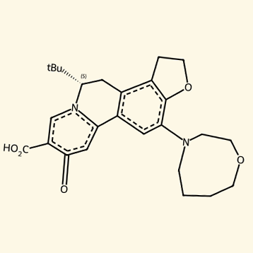 CC(C)(C)[C@@H]1Cc2c(cc(N3CCCCOCC3)c3c2CCO3)-c2cc(=O)c(C(=O)O)cn21